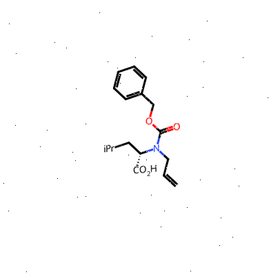 C=CCN(C(=O)OCc1ccccc1)[C@@H](CC(C)C)C(=O)O